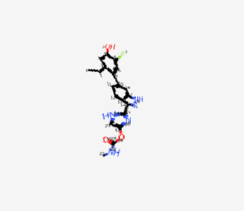 CCc1cc(O)c(F)cc1-c1ccc2c(-c3nc(OC(=O)NC)c[nH]3)n[nH]c2c1